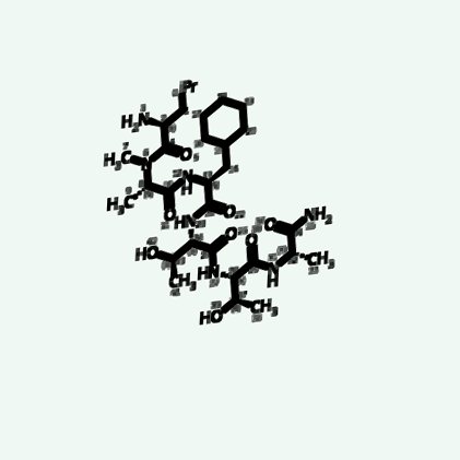 CC(C)C[C@H](N)C(=O)N(C)[C@@H](C)C(=O)N[C@@H](CC1CCCCC1)C(=O)N[C@H](C(=O)N[C@H](C(=O)N[C@@H](C)C(N)=O)[C@@H](C)O)[C@@H](C)O